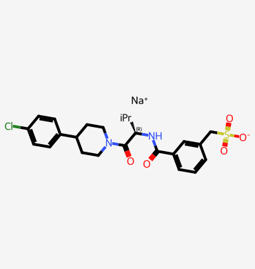 CC(C)[C@@H](NC(=O)c1cccc(CS(=O)(=O)[O-])c1)C(=O)N1CCC(c2ccc(Cl)cc2)CC1.[Na+]